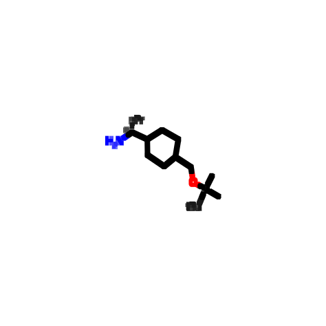 CCC[C@@H](N)C1CCC(CO[Si](C)(C)C(C)(C)C)CC1